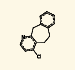 Clc1ccnc2c1CCc1ccccc1C2